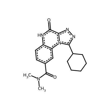 CN(C)C(=O)c1ccc2[nH]c(=O)c3nnc(C4CCCCC4)n3c2c1